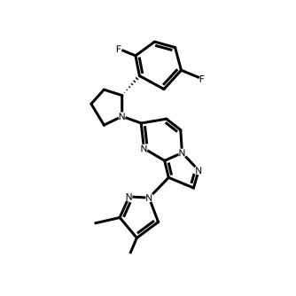 Cc1cn(-c2cnn3ccc(N4CCC[C@@H]4c4cc(F)ccc4F)nc23)nc1C